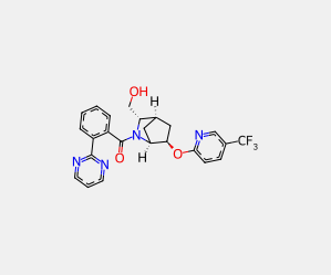 O=C(c1ccccc1-c1ncccn1)N1[C@H](CO)[C@H]2C[C@@H](Oc3ccc(C(F)(F)F)cn3)[C@@H]1C2